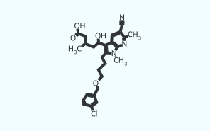 Cc1nc2c(cc1C#N)c(C(O)CC(C)CC(=O)O)c(CCCCOCc1cccc(Cl)c1)n2C